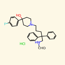 Cl.O=CNCC(CCCN1CCC(O)(c2ccc(F)cc2)CC1)(c1ccccc1)c1ccccc1